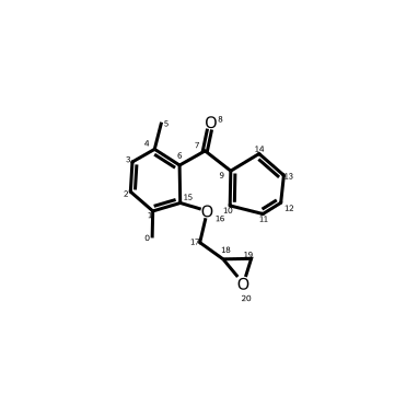 Cc1ccc(C)c(C(=O)c2ccccc2)c1OCC1CO1